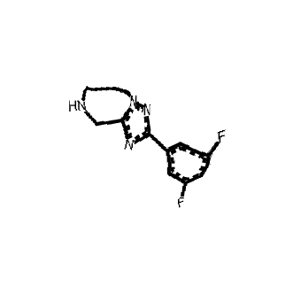 Fc1cc(F)cc(-c2nc3n(n2)CCNC3)c1